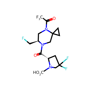 O=C([C@@H]1CC(F)(F)CN1C(=O)O)N1CC2(CC2)N(C(=O)C(F)(F)F)C[C@@H]1CF